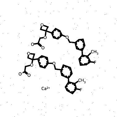 Cc1c(F)cccc1-c1cccc(COc2ccc(C3(OCC(=O)[O-])COC3)cc2)c1.Cc1c(F)cccc1-c1cccc(COc2ccc(C3(OCC(=O)[O-])COC3)cc2)c1.[Ca+2]